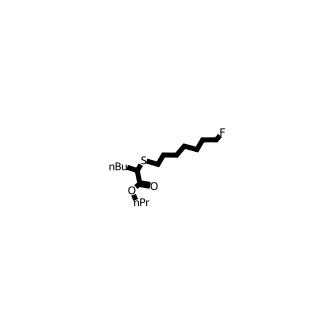 CCCCC(SCCCCCCCF)C(=O)OCCC